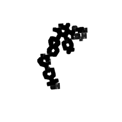 Cc1nc(C)c(C(OC(C)(C)C)C(=O)O)c(N2CCC(C)(C)CC2)c1-c1ccc2c(c1)CCN(c1nccc(N3CCC(C(C)(C)O)CC3)n1)C2